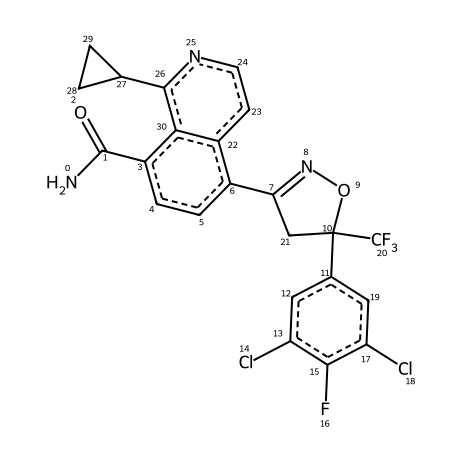 NC(=O)c1ccc(C2=NOC(c3cc(Cl)c(F)c(Cl)c3)(C(F)(F)F)C2)c2ccnc(C3CC3)c12